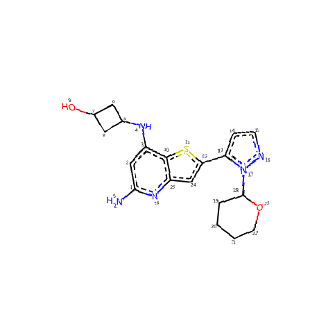 Nc1cc(NC2CC(O)C2)c2sc(-c3ccnn3C3CCCCO3)cc2n1